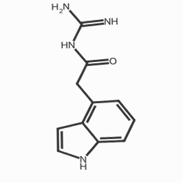 N=C(N)NC(=O)Cc1cccc2[nH]ccc12